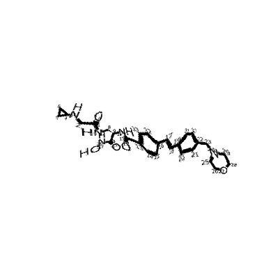 O=C(CNC1CC1)NC[C@H](NC(=O)c1ccc(/C=C/c2ccc(CN3CCOCC3)cc2)cc1)C(=O)NO